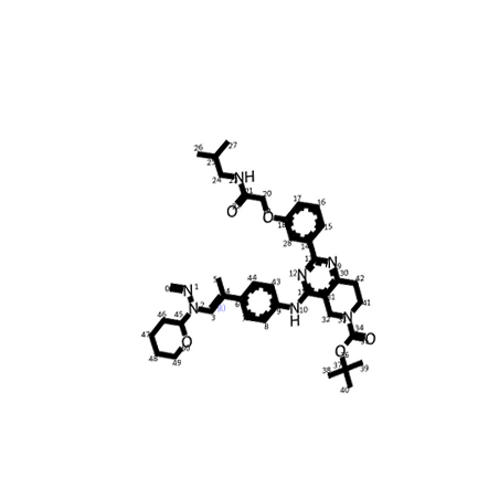 C=NN(/C=C(\C)c1ccc(Nc2nc(-c3cccc(OCC(=O)NCC(C)C)c3)nc3c2CN(C(=O)OC(C)(C)C)CC3)cc1)C1CCCCO1